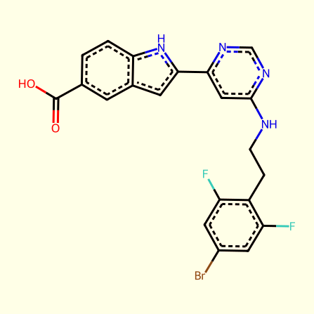 O=C(O)c1ccc2[nH]c(-c3cc(NCCc4c(F)cc(Br)cc4F)ncn3)cc2c1